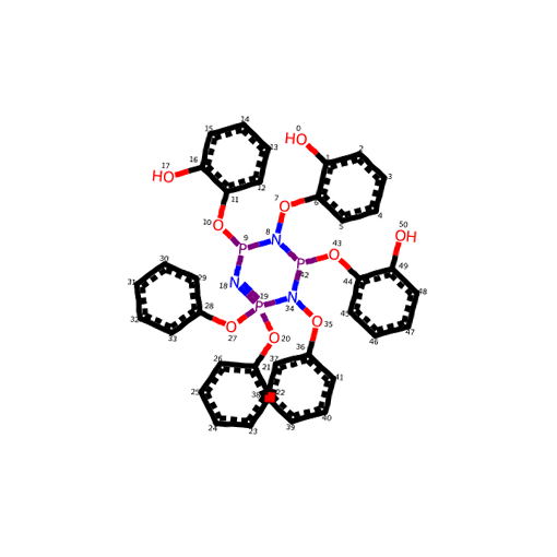 Oc1ccccc1ON1P(Oc2ccccc2O)N=P(Oc2ccccc2)(Oc2ccccc2)N(Oc2ccccc2)P1Oc1ccccc1O